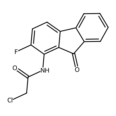 O=C(CCl)Nc1c(F)ccc2c1C(=O)c1ccccc1-2